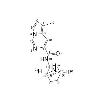 Cc1ccn2cnc(C(=O)N[C@@H]3C[C@H]4CC[C@@H]3N4)cc12